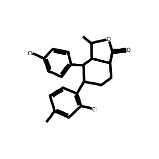 Cc1ccc(C2CCC3C(=O)OC(C)C3C2c2ccc(Cl)cc2)c(Cl)c1